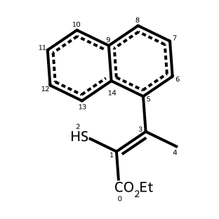 CCOC(=O)C(S)=C(C)c1cccc2ccccc12